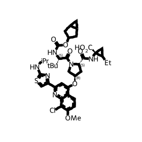 CCC1C[C@]1(NC(=O)[C@@H]1C[C@@H](Oc2cc(-c3csc(NC(C)C)n3)nc3c(Cl)c(OC)ccc23)CN1C(=O)[C@@H](NC(=O)OC1CC2CC2C1)C(C)(C)C)C(=O)O